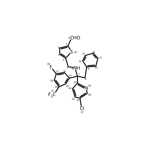 O=Cc1ccc(CNC(Cc2ccccc2)(c2cc(F)cc(C(F)(F)F)c2)c2ccc(Cl)cn2)s1